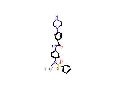 O=C(O)CN(c1ccc(NC(=O)c2ccc(N3CCNCC3)cc2)cc1)S(=O)(=O)c1ccccc1